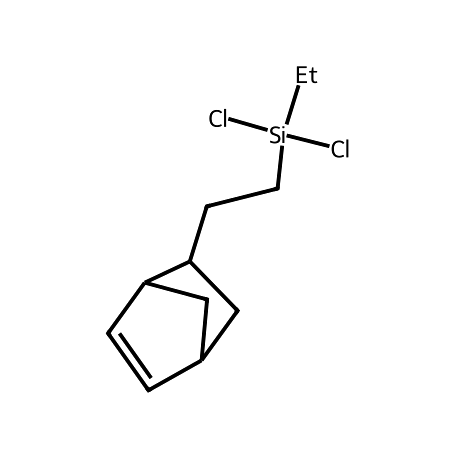 CC[Si](Cl)(Cl)CCC1CC2C=CC1C2